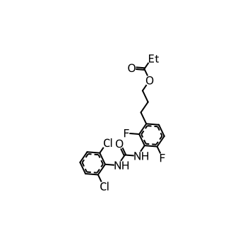 CCC(=O)OCCCc1ccc(F)c(NC(=O)Nc2c(Cl)cccc2Cl)c1F